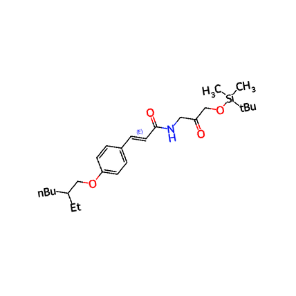 CCCCC(CC)COc1ccc(/C=C/C(=O)NCC(=O)CO[Si](C)(C)C(C)(C)C)cc1